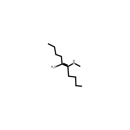 CCCCC([SiH3])=C(CCCC)NC